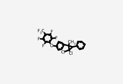 CC1(c2ccc(Oc3c(F)c(F)c(C(F)(F)F)c(F)c3F)cc2)C(c2ccccc2)C1(Cl)Cl